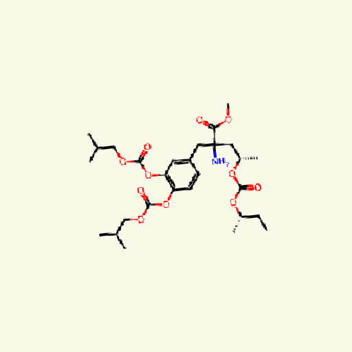 CC[C@H](C)OC(=O)O[C@@H](C)CC(N)(Cc1ccc(OC(=O)OCC(C)C)c(OC(=O)OCC(C)C)c1)C(=O)OC